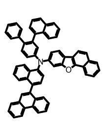 c1ccc(-c2ccc(N(c3ccc4c(c3)oc3c5ccccc5ccc43)c3ccc(-c4cc5ccccc5c5ccccc45)c4ccccc34)cc2-c2cccc3ccccc23)cc1